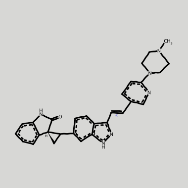 CN1CCN(c2ccc(/C=C/c3n[nH]c4cc(C5C[C@@]56C(=O)Nc5ccccc56)ccc34)cn2)CC1